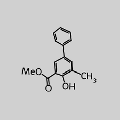 COC(=O)c1cc(-c2ccccc2)cc(C)c1O